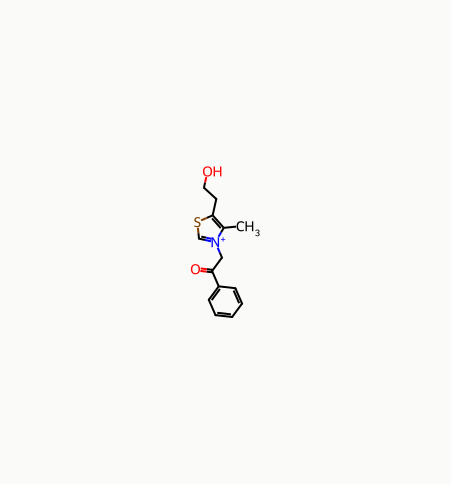 Cc1c(CCO)sc[n+]1CC(=O)c1ccccc1